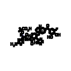 CC(C)(O/N=C(\C(=O)N[C@@H]1C(=O)N2C(c3nnn[nH]3)=C(C[N@+]34CCC[C@H]3CN(C(=O)c3cc(O)c(O)c(F)c3)CC4)CS[C@H]12)c1nsc(N)n1)C(=O)O